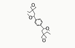 CCC1(CC(OC)c2ccc(C(CC3(CC)COC3)OC)cc2)COC1